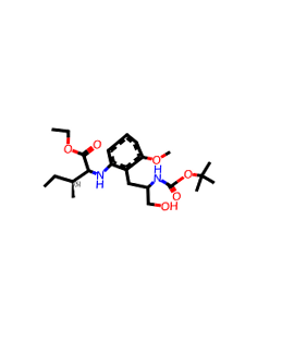 CCOC(=O)C(Nc1cccc(OC)c1CC(CO)NC(=O)OC(C)(C)C)[C@@H](C)CC